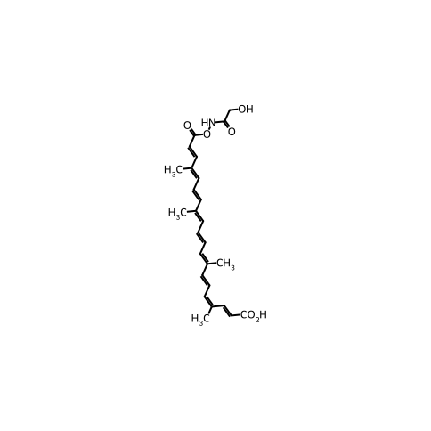 CC(=C/C=C/C(C)=C/C=C/C=C(C)/C=C/C=C(C)/C=C/C(=O)ONC(=O)CO)/C=C/C(=O)O